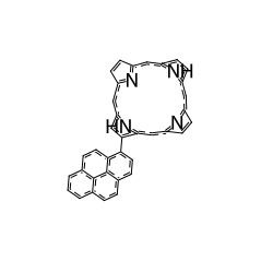 C1=Cc2cc3cc(-c4ccc5ccc6cccc7ccc4c5c67)c(cc4nc(cc5ccc(cc1n2)[nH]5)C=C4)[nH]3